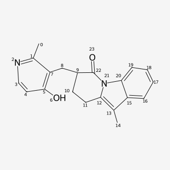 Cc1nccc(O)c1CC1CCc2c(C)c3ccccc3n2C1=O